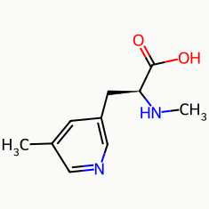 CN[C@@H](Cc1cncc(C)c1)C(=O)O